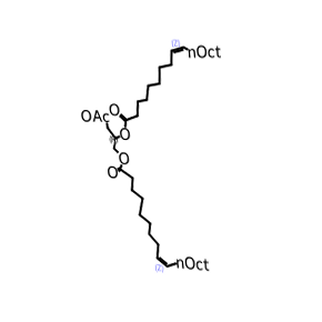 CCCCCCCC/C=C\CCCCCCCC(=O)OC[C@@H](COC(C)=O)OC(=O)CCCCCCC/C=C\CCCCCCCC